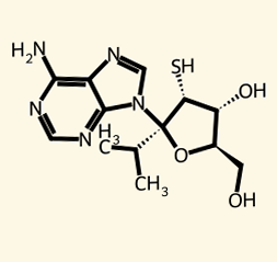 CC(C)[C@@]1(n2cnc3c(N)ncnc32)O[C@H](CO)[C@@H](O)[C@H]1S